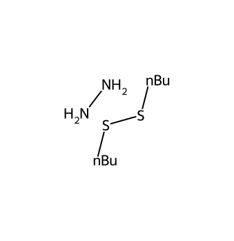 CCCCSSCCCC.NN